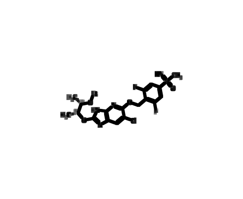 CCO[C@@H](C)[C@@H](C)Oc1nc2cc(Cl)c(OCc3c(F)cc(S(C)(=N)=O)cc3F)nc2[nH]1